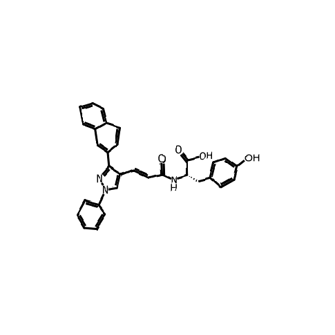 O=C(C=Cc1cn(-c2ccccc2)nc1-c1ccc2ccccc2c1)N[C@@H](Cc1ccc(O)cc1)C(=O)O